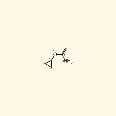 C=C(N)OC1CC1